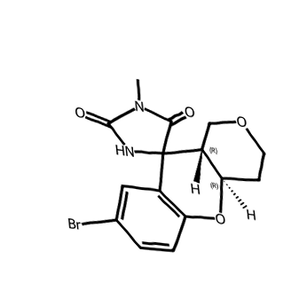 CN1C(=O)NC2(C1=O)c1cc(Br)ccc1O[C@@H]1CCOC[C@H]12